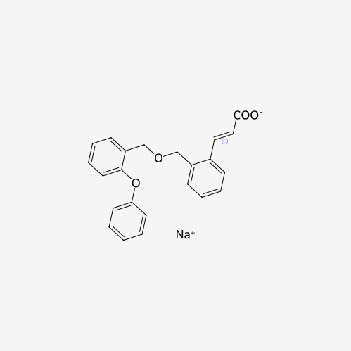 O=C([O-])/C=C/c1ccccc1COCc1ccccc1Oc1ccccc1.[Na+]